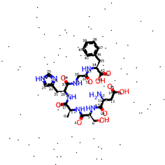 C[C@H](NC(=O)[C@H](CO)NC(=O)[C@@H](N)CC(=O)O)C(=O)N[C@@H](Cc1c[nH]cn1)C(=O)NCC(=O)N[C@@H](Cc1ccccc1)C(=O)O